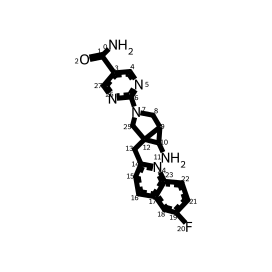 NC(=O)c1cnc(N2CC3C(N)C3(Cc3ccc4cc(F)ccc4n3)C2)nc1